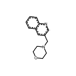 [c]1nc2ccccc2cc1CN1CCOCC1